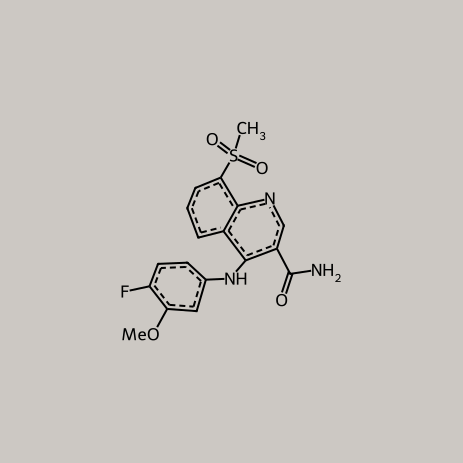 COc1cc(Nc2c(C(N)=O)cnc3c(S(C)(=O)=O)cccc23)ccc1F